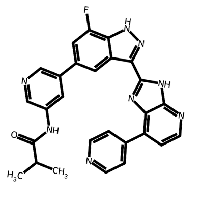 CC(C)C(=O)Nc1cncc(-c2cc(F)c3[nH]nc(-c4nc5c(-c6ccncc6)ccnc5[nH]4)c3c2)c1